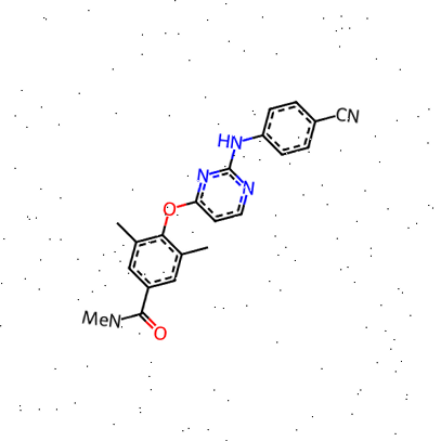 CNC(=O)c1cc(C)c(Oc2ccnc(Nc3ccc(C#N)cc3)n2)c(C)c1